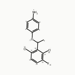 CC(Oc1ccc(N)cc1)c1c(Cl)ccc(F)c1Cl